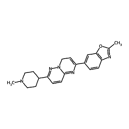 Cc1nc2ccc(C3=CCN4N=C(C5CCN(C)CC5)C=CC4=N3)cc2o1